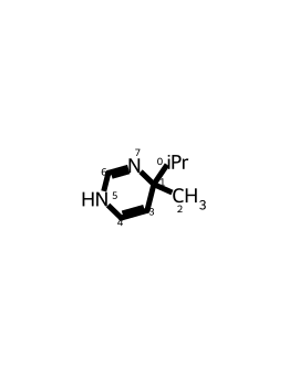 CC(C)C1(C)C=CNC=N1